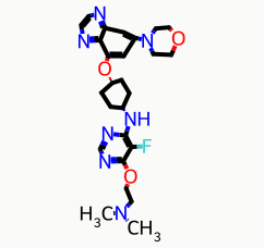 CN(C)CCOc1ncnc(N[C@H]2CC[C@@H](Oc3cc(N4CCOCC4)cc4nccnc34)CC2)c1F